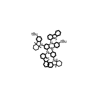 CC(C)(C)c1ccc2c(c1)N(c1cccc3c1sc1ccccc13)c1cc(N3c4ccc(C(C)(C)C)cc4C4(C)CCCCC34C)cc3c1B2c1ccc(N2c4ccccc4C4(C)CCCCC24C)cc1N3c1cccc2c1sc1ccccc12